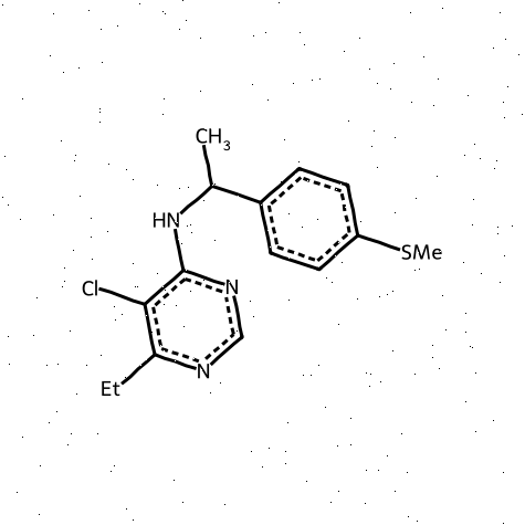 CCc1ncnc(NC(C)c2ccc(SC)cc2)c1Cl